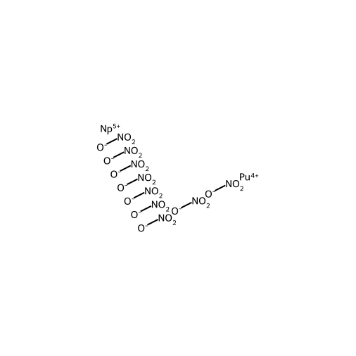 O=[N+]([O-])[O-].O=[N+]([O-])[O-].O=[N+]([O-])[O-].O=[N+]([O-])[O-].O=[N+]([O-])[O-].O=[N+]([O-])[O-].O=[N+]([O-])[O-].O=[N+]([O-])[O-].O=[N+]([O-])[O-].[Np+5].[Pu+4]